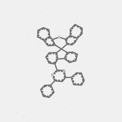 c1ccc(-c2cc(-c3ccccc3)nc(-c3cccc4c3-c3ccccc3C43c4ccc5ccccc5c4Sc4c3ccc3ccccc43)n2)cc1